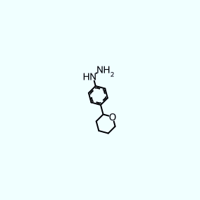 NNc1ccc(C2CCCCO2)cc1